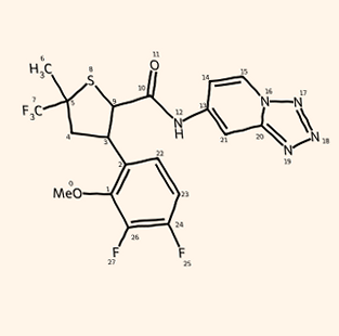 COc1c(C2CC(C)(C(F)(F)F)SC2C(=O)Nc2ccn3nnnc3c2)ccc(F)c1F